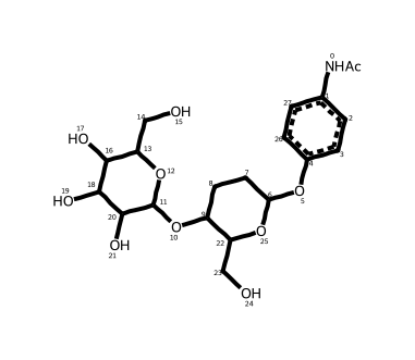 CC(=O)Nc1ccc(OC2CCC(OC3OC(CO)C(O)C(O)C3O)C(CO)O2)cc1